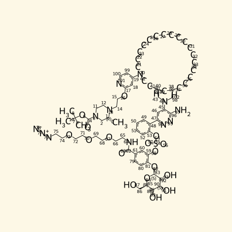 C[C@@H]1CN(C(=O)OC(C)(C)C)CCN1CCOc1cc(N2CCCCCCCCCCCCCCCCC[C@@H]3C[C@H](CC2)CN(c2cc(-c4ccccc4OS(=O)(=O)Oc4cc(C(=O)NCCOCCOCCOCCN=[N+]=[N-])ccc4O[C@@H]4O[C@H](CO)[C@H](O)[C@H](O)[C@H]4O)nnc2N)C3)ccn1